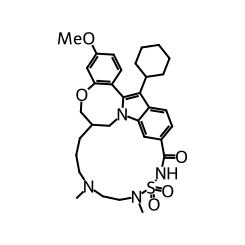 COc1ccc2c(c1)OCC1CCCN(C)CCN(C)S(=O)(=O)NC(=O)c3ccc4c(C5CCCCC5)c-2n(c4c3)C1